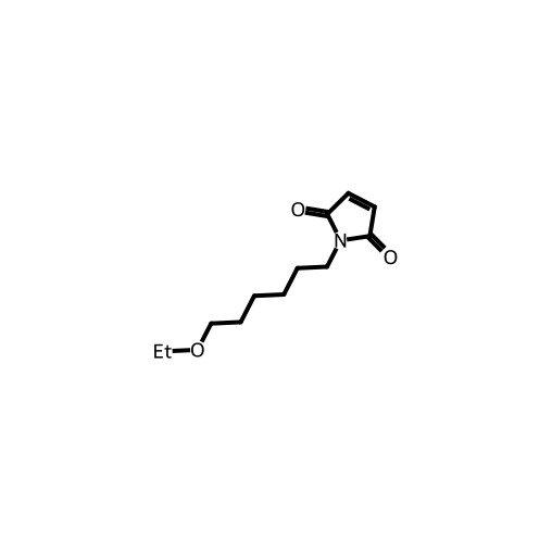 CCOCCCCCCN1C(=O)C=CC1=O